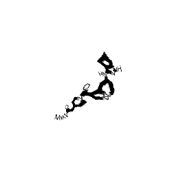 CNC(=O)CC1CCN(C(=O)c2cnn3ccc(Nc4n[nH]c5c4CCC5)cc23)CC1